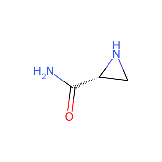 NC(=O)[C@H]1CN1